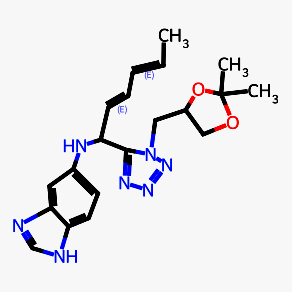 C/C=C/C=C/C(Nc1ccc2[nH]cnc2c1)c1nnnn1CC1COC(C)(C)O1